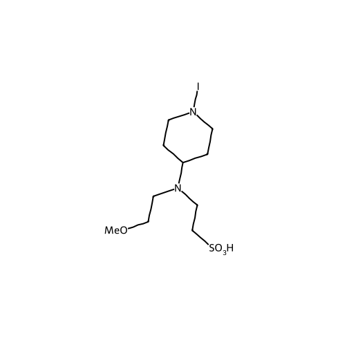 COCCN(CCS(=O)(=O)O)C1CCN(I)CC1